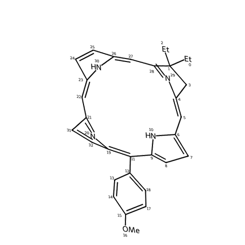 CCC1(CC)Cc2cc3ccc([nH]3)c(-c3ccc(OC)cc3)c3nc(cc4ccc(cc1n2)[nH]4)C=C3